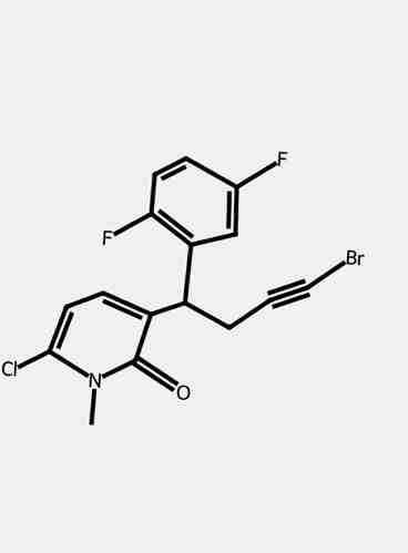 Cn1c(Cl)ccc(C(CC#CBr)c2cc(F)ccc2F)c1=O